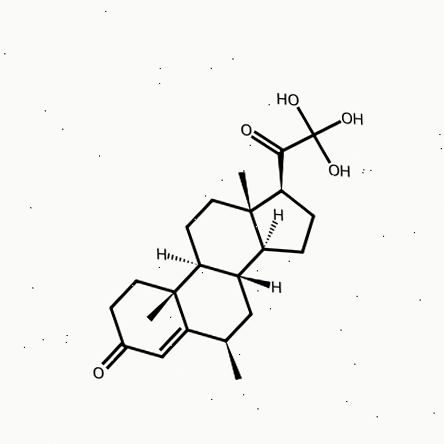 C[C@@H]1C[C@H]2[C@@H]3CC[C@H](C(=O)C(O)(O)O)[C@@]3(C)CC[C@@H]2[C@@]2(C)CCC(=O)C=C12